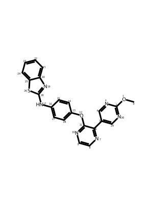 COc1ncc(-c2nccnc2Oc2ccc(Nc3nc4ccccc4s3)cc2)cn1